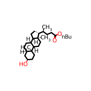 CCCCOC(=O)CC[C@H](C)[C@H]1CC[C@H]2[C@@H]3CC[C@@H]4C[C@H](O)CC[C@]4(C)[C@H]3CC[C@]12C